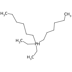 CCCCCC[PH](CC)(CC)CCCCCC